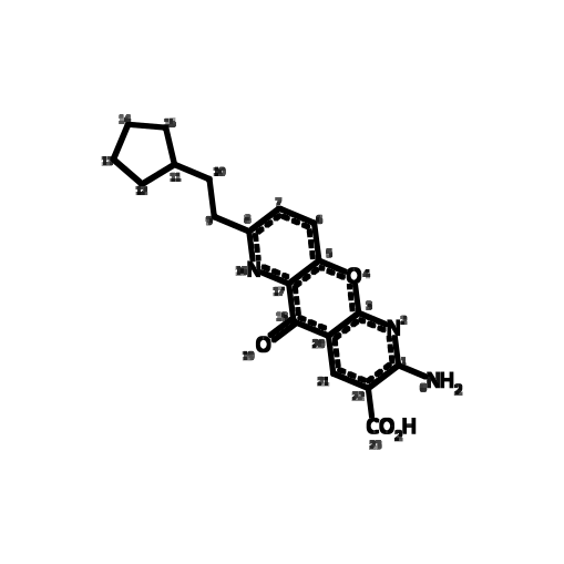 Nc1nc2oc3ccc(CCC4CCCC4)nc3c(=O)c2cc1C(=O)O